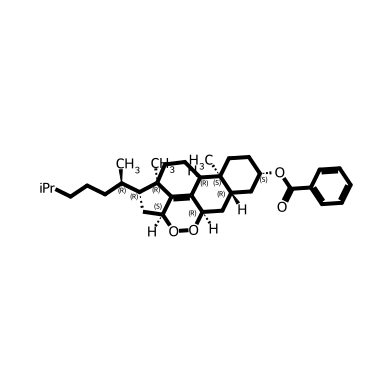 CC(C)CCC[C@@H](C)[C@H]1C[C@@H]2OO[C@@H]3C[C@H]4C[C@@H](OC(=O)c5ccccc5)CC[C@]4(C)[C@H]4CC[C@@]1(C)C2=C34